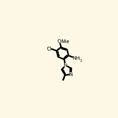 COc1cc(N)c(-n2cnc(C)c2)cc1Cl